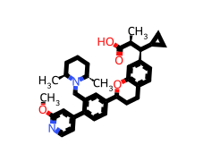 COc1cc(-c2ccc(C3CCc4ccc([C@H](C5CC5)[C@H](C)C(=O)O)cc4O3)cc2CN2[C@@H](C)CCC[C@@H]2C)ccn1